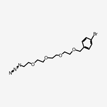 [N-]=[N+]=NCCOCCOCCOCCOCc1ccc(Br)cc1